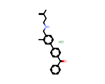 C=C(C)CCNCc1ccc(-c2ccc(C(=O)c3ccccc3)cc2)cc1C.Cl